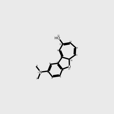 CN(C)c1ccc2c(c1)C1=CC(O)=CC=CC1O2